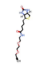 C#CCOCCOCCNC(=O)CCCC[C@@H]1SC[C@@H]2NC(=O)N[C@@H]21